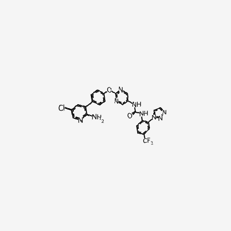 Nc1ncc(Cl)cc1-c1ccc(Oc2ncc(NC(=O)Nc3ccc(C(F)(F)F)cc3-n3ccnn3)cn2)cc1